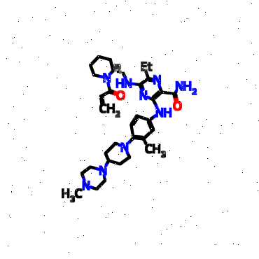 C=CC(=O)N1CCCC[C@@H]1CNc1nc(Nc2ccc(N3CCC(N4CCN(C)CC4)CC3)c(C)c2)c(C(N)=O)nc1CC